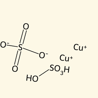 O=S(=O)(O)O.O=S(=O)([O-])[O-].[Cu+].[Cu+]